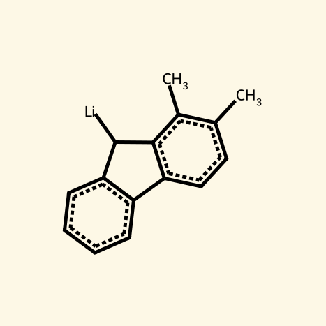 [Li][CH]1c2ccccc2-c2ccc(C)c(C)c21